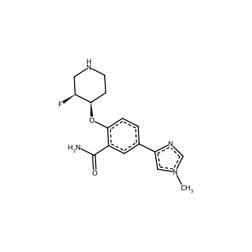 Cn1cnc(-c2ccc(O[C@@H]3CCNC[C@@H]3F)c(C(N)=O)c2)c1